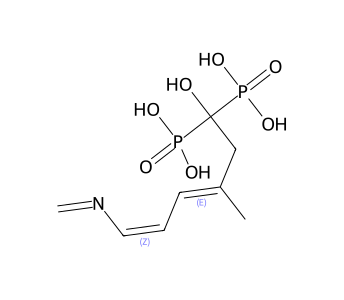 C=N/C=C\C=C(/C)CC(O)(P(=O)(O)O)P(=O)(O)O